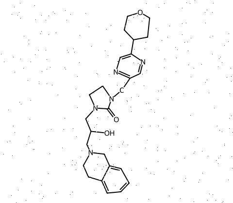 O=C1N(Cc2cnc(C3CCOCC3)cn2)CCN1CC(O)CN1CCc2ccccc2C1